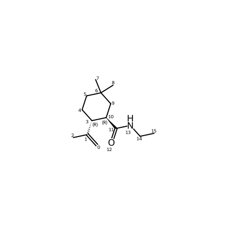 C=C(C)[C@@H]1CCC(C)(C)C[C@H]1C(=O)NCC